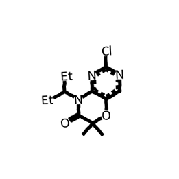 CCC(CC)N1C(=O)C(C)(C)Oc2cnc(Cl)nc21